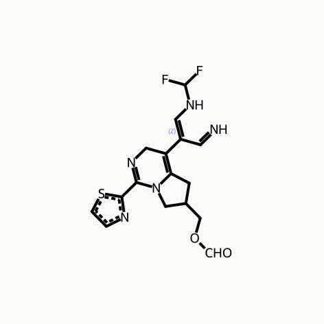 N=C/C(=C\NC(F)F)C1=C2CC(COC=O)CN2C(c2nccs2)=NC1